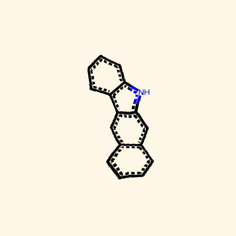 c1ccc2cc3c(cc2c1)[nH]c1ccccc13